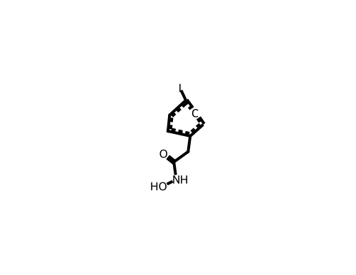 O=C(Cc1ccc(I)cc1)NO